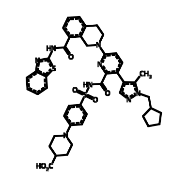 Cc1c(-c2ccc(N3CCc4cccc(C(=O)Nc5nc6ccccc6s5)c4C3)nc2C(=O)NS(=O)(=O)c2ccc(N3CCC(C(=O)O)CC3)cc2)cnn1CC1CCCC1